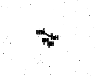 [KH].[KH].[TeH][TeH]